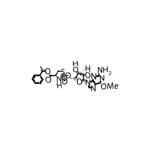 COc1nc(N)nc2c1ncn2[C@@H]1O[C@H](CO[P@@]2(=O)NC(C(=O)O[C@H](C)c3ccccc3)CS2)[C@@H](O)[C@@]1(C)O